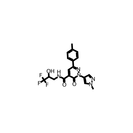 Cc1ccc(-c2cc(C(=O)NCC(O)C(F)(F)F)c(=O)n(-c3cnn(C)c3)n2)cc1